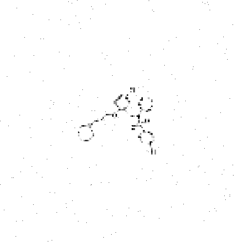 O=S(=O)(c1ccc(Cl)cc1)N(Cc1cc(Cl)ccc1OCCCN1CCCCC1)c1ccccc1